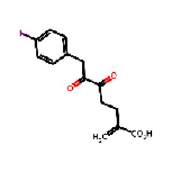 C=C(CCC(=O)C(=O)Cc1ccc(I)cc1)C(=O)O